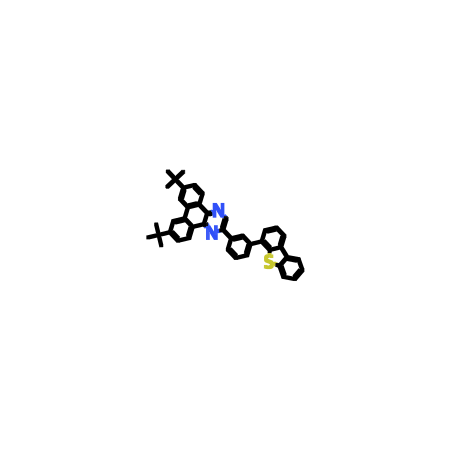 CC(C)(C)c1ccc2c(c1)c1cc(C(C)(C)C)ccc1c1nc(-c3cccc(-c4cccc5c4sc4ccccc45)c3)cnc21